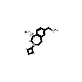 CNCc1ccc2c(c1)CCN(C1CCC1)CC2.Cl.Cl